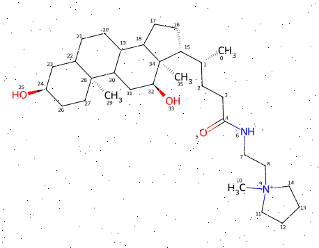 C[C@H](CCC(=O)NCC[N+]1(C)CCCC1)[C@H]1CCC2C3CCC4C[C@H](O)CC[C@]4(C)C3C[C@H](O)[C@@]21C